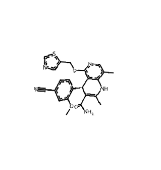 COc1cc(C#N)ccc1[C@@H]1C(C(N)=O)=C(C)Nc2c(C)cnc(OCc3cncs3)c21